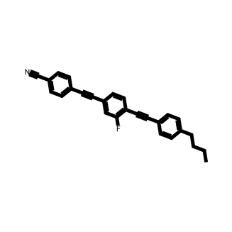 CCCCc1ccc(C#Cc2ccc(C#Cc3ccc(C#N)cc3)cc2F)cc1